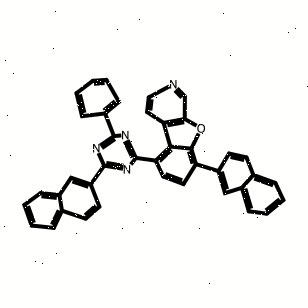 c1ccc(-c2nc(-c3ccc4ccccc4c3)nc(-c3ccc(-c4ccc5ccccc5c4)c4oc5cnccc5c34)n2)cc1